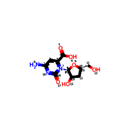 Nc1cc(C(=O)O)n([C@@H]2O[C@H](CO)CC2O)c(=O)n1